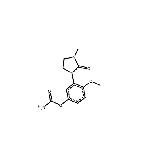 COc1ncc(OC(N)=O)cc1N1CCN(C)C1=O